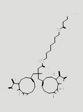 C=C1C(=O)O[C@H]2[C@H]1CC/C(CC(CC(=O)NCCCCCCCNC(=O)CCC(=O)O)(C/C1=C/CC[C@@]3(C)O[C@H]3[C@H]3OC(=O)C(=C)[C@@H]3CC1)C(=O)O)=C\CC[C@@]1(C)O[C@@H]21